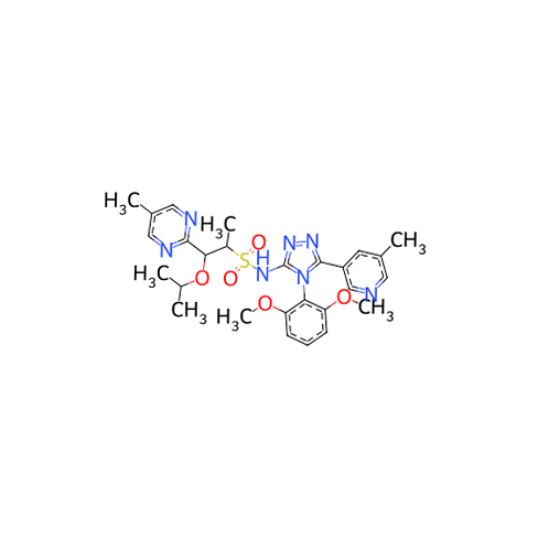 COc1cccc(OC)c1-n1c(NS(=O)(=O)C(C)C(OC(C)C)c2ncc(C)cn2)nnc1-c1cncc(C)c1